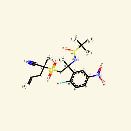 C=CC[C@](C)(C#N)S(=O)(=O)C[C@](C)(N[S+]([O-])C(C)(C)C)c1cc([N+](=O)[O-])ccc1F